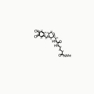 CNC(=O)CCCNC(=O)NC[C@H]1CN(Cc2ccc(Cl)c(Cl)c2)CCO1